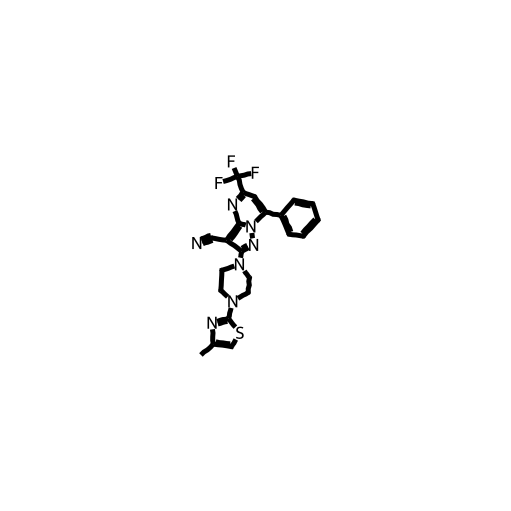 Cc1csc(N2CCN(c3nn4c(-c5ccccc5)cc(C(F)(F)F)nc4c3C#N)CC2)n1